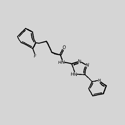 O=C(CCc1ccccc1F)Nc1nnc(-c2ccccn2)[nH]1